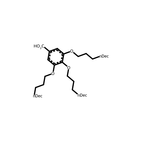 CCCCCCCCCCCCCOc1cc(C(=O)O)cc(OCCCCCCCCCCCCC)c1OCCCCCCCCCCCCC